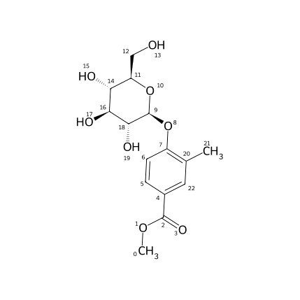 COC(=O)c1ccc(O[C@@H]2O[C@H](CO)[C@@H](O)[C@H](O)[C@H]2O)c(C)c1